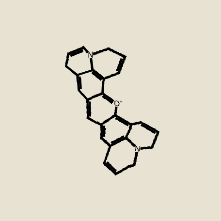 C1=CN2CC=Cc3c2c(cc2cc4cc5c6c(c4[o+]c32)C=CCN6CC=C5)C1